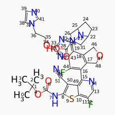 CC(C)(C)OC(=O)Nc1sc2c(F)cnc(-c3c4c(c5c(N6C7CCC6CN(C(=O)O)C7)nc(OCCn6ccnc6)nc5c3F)COC4)c2c1C#N